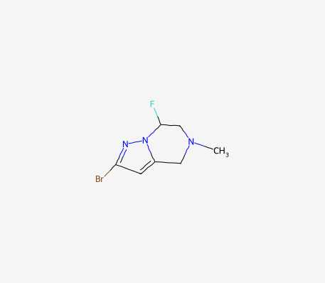 CN1Cc2cc(Br)nn2C(F)C1